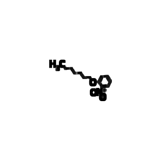 CCCCCCCOc1ccccc1[N+](=O)[O-]